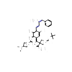 CN(C)C1CN(c2nc(C3(C(N)=O)CN(C(=O)OC(C)(C)C)C3)c3cc(Cl)c(/C=C/C(O)=C\c4ccccc4)c(F)c3n2)C1